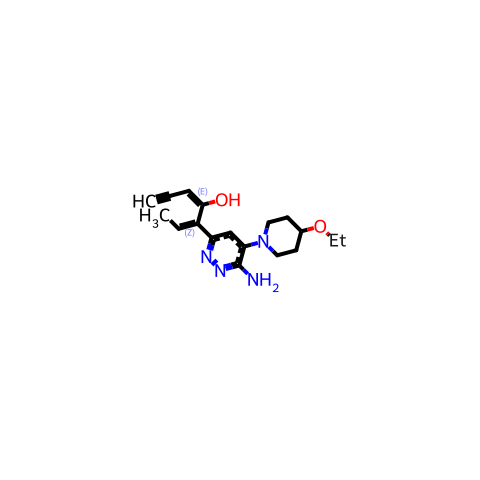 C#C/C=C(O)\C(=C/C)c1cc(N2CCC(OCC)CC2)c(N)nn1